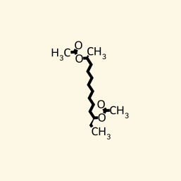 CC[C@@H](CCCCCCCC[C@H](C)OC(C)=O)OC(C)=O